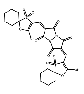 O=c1c(=CC2=C(O)OC3(CCCCC3)S2(=O)=O)c(=O)n2c(=O)c(=CC3=C(O)OC4(CCCCC4)S3(=O)=O)c(=O)n1-2